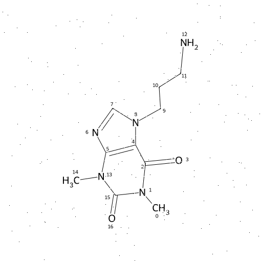 Cn1c(=O)c2c(ncn2CCCN)n(C)c1=O